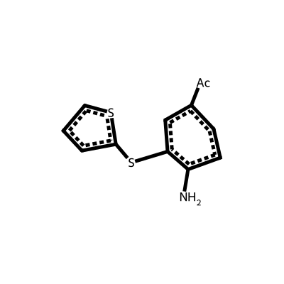 CC(=O)c1ccc(N)c(Sc2cccs2)c1